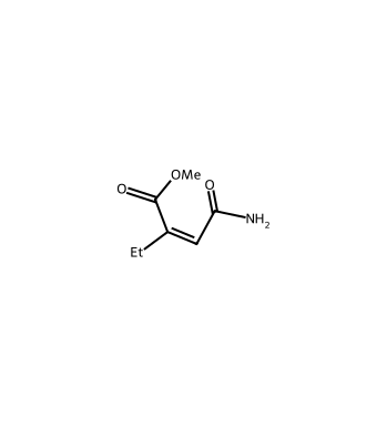 CCC(=CC(N)=O)C(=O)OC